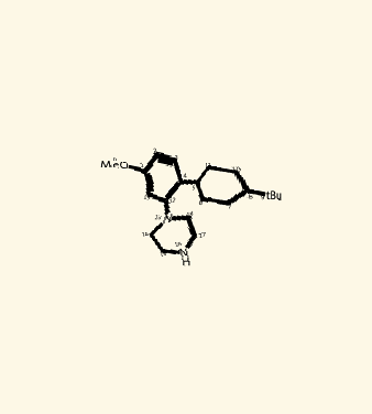 COc1ccc(C2CCC(C(C)(C)C)CC2)c(N2CCNCC2)c1